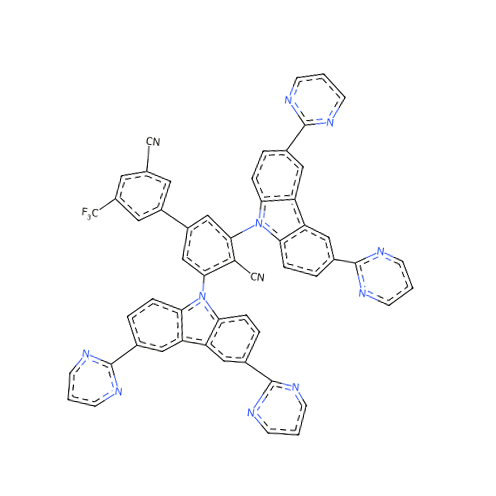 N#Cc1cc(-c2cc(-n3c4ccc(-c5ncccn5)cc4c4cc(-c5ncccn5)ccc43)c(C#N)c(-n3c4ccc(-c5ncccn5)cc4c4cc(-c5ncccn5)ccc43)c2)cc(C(F)(F)F)c1